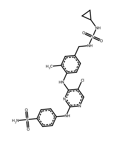 Cc1cc(CNS(=O)(=O)NC2CC2)ccc1Nc1nc(Nc2ccc(S(N)(=O)=O)cc2)ncc1Cl